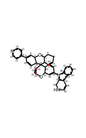 C1=CC2C(CC1)OC1C=C(c3ccncc3)C=CC1C21c2ccccc2OC2C=C(n3c4c(c5ccccc53)C=CNC4)C=CC21